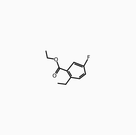 CCOC(=O)c1cc(F)ccc1CC